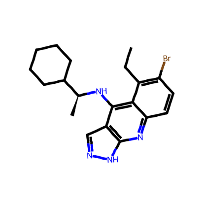 CCc1c(Br)ccc2nc3[nH]ncc3c(N[C@@H](C)C3CCCCC3)c12